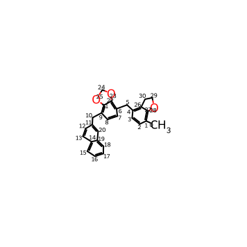 Cc1ccc(Cc2ccc(Cc3ccc4ccccc4c3)c3c2OCO3)c2c1OCC2